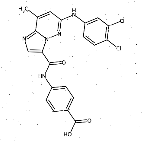 Cc1cc(Nc2ccc(Cl)c(Cl)c2)nn2c(C(=O)Nc3ccc(C(=O)O)cc3)cnc12